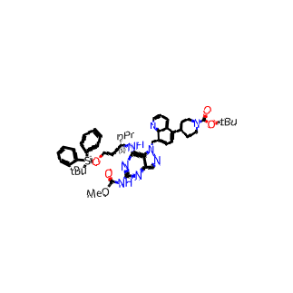 CCC[C@@H](CCO[Si](c1ccccc1)(c1ccccc1)C(C)(C)C)Nc1nc(NC(=O)OC)nc2cnn(Cc3ccc(C4CCN(C(=O)OC(C)(C)C)CC4)c4cccnc34)c12